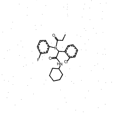 CCC(=O)N(c1cccc(F)c1)C(C(=O)NC1CCCCC1)c1ccccc1Cl